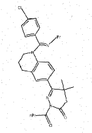 CCCC(=O)N1N=C(c2ccc3c(c2)CCCN3C(=NC(C)C)c2ccc(Cl)cc2)C(C)(C)SC1=O